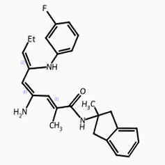 CC/C=C(/C=C(N)\C=C(/C)C(=O)NC1(C)Cc2ccccc2C1)Nc1cccc(F)c1